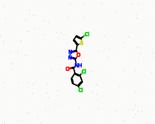 O=C(Nc1nnc(-c2ccc(Cl)s2)o1)c1ccc(Cl)cc1Cl